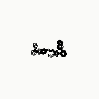 CCOC(=O)C(C)(C)Oc1ccc(OCCc2nc(-c3ccccc3-c3ccc4cccc-4o3)oc2C)cc1